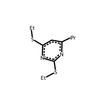 CCSc1cc(C(C)C)nc(SCC)n1